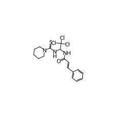 O=C(/C=C/c1ccccc1)NC(NC(=S)N1CCCCC1)C(Cl)(Cl)Cl